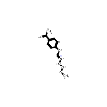 CSOO/N=C/Oc1ccc(C(C)=O)cc1